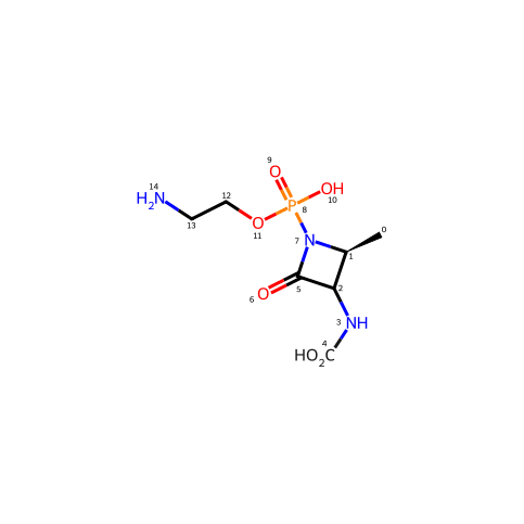 C[C@H]1C(NC(=O)O)C(=O)N1P(=O)(O)OCCN